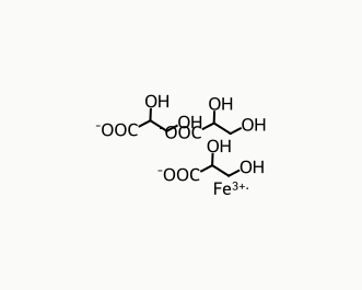 O=C([O-])C(O)CO.O=C([O-])C(O)CO.O=C([O-])C(O)CO.[Fe+3]